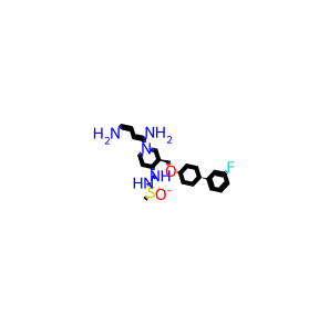 C[S+]([O-])NNC1CCN(/C(N)=C/C=C\N)C[C@H]1CO[C@H]1CC[C@@H](c2cccc(F)c2)CC1